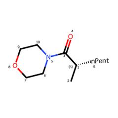 CCCCC[C@H](C)C(=O)N1CCOCC1